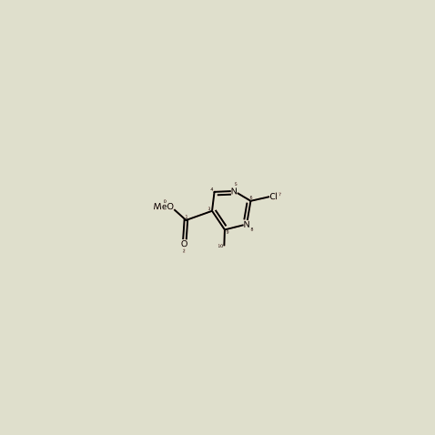 COC(=O)c1cnc(Cl)nc1C